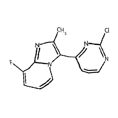 Cc1nc2c(F)cccn2c1-c1ccnc(Cl)n1